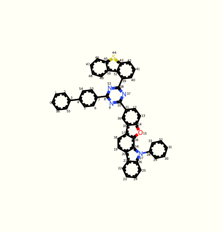 c1ccc(-c2ccc(-c3nc(-c4ccc5oc6c(ccc7c8ccccc8n(-c8ccccc8)c76)c5c4)nc(-c4cccc5sc6ccccc6c45)n3)cc2)cc1